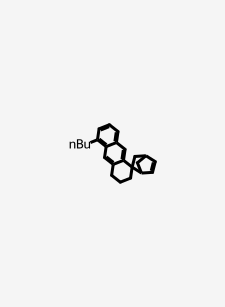 CCCCc1cccc2cc3c(cc12)CCCC31CC2C=CC1C2